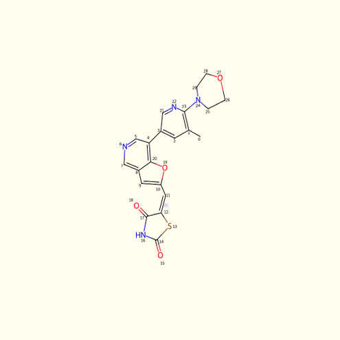 Cc1cc(-c2cncc3cc(/C=C4/SC(=O)NC4=O)oc23)cnc1N1CCOCC1